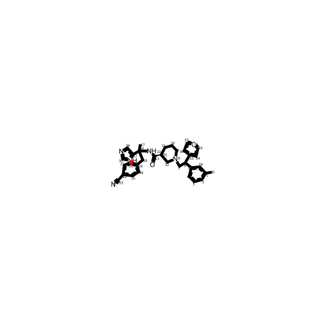 Cc1cccc(C(CN2CCC[C@H](C(=O)NC(C)(Cc3ccc(C#N)cc3)c3cnc[nH]3)C2)c2ccccc2)c1